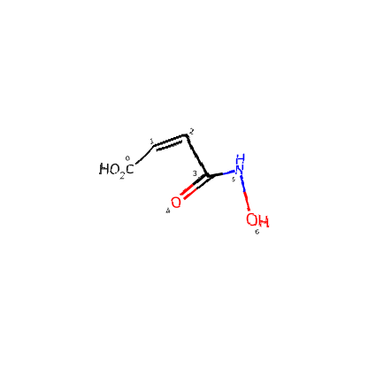 O=C(O)/C=C\C(=O)NO